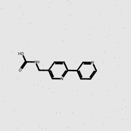 O=C(O)NCc1ccc(-c2cccnc2)nc1